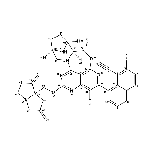 C#Cc1c(F)ccc2cccc(-c3nc4c5c(nc(OCC67CC(=C)CN6CCC7=C)nc5c3F)N3C[C@H]5CC[C@H](N5)[C@H]3[C@H](C)O4)c12